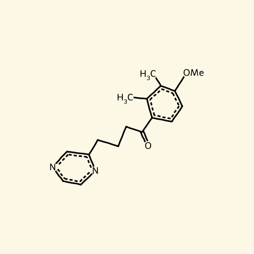 COc1ccc(C(=O)CCCc2cnccn2)c(C)c1C